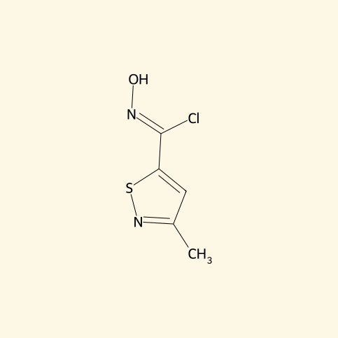 Cc1cc(/C(Cl)=N/O)sn1